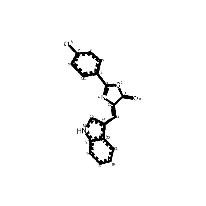 O=C1OC(c2ccc(Cl)cc2)=NC1=Cc1c[nH]c2ccccc12